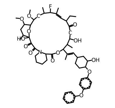 CCC1/C=C(\C)C(F)C(C)CC(OC)C2OC(O)(C(=O)C(=O)N3CCCCC3C(=O)OC(C(C)=CC3CCC(Oc4ccc(Oc5ccccc5)cc4)C(O)C3)C(C)C(O)CC1=O)C(C)CC2OC